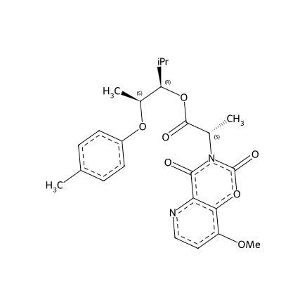 COc1ccnc2c(=O)n([C@@H](C)C(=O)O[C@H](C(C)C)[C@H](C)Oc3ccc(C)cc3)c(=O)oc12